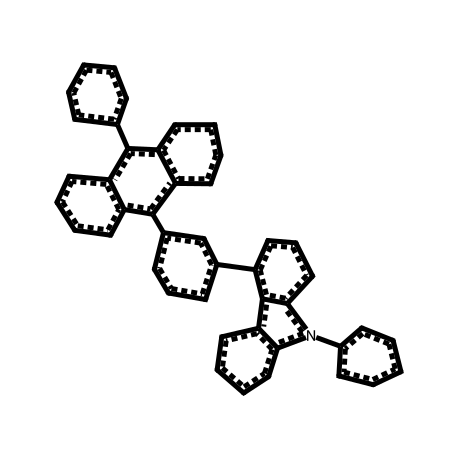 c1ccc(-c2c3ccccc3c(-c3cccc(-c4cccc5c4c4ccccc4n5-c4ccccc4)c3)c3ccccc23)cc1